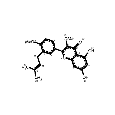 COc1ccc(-c2oc3cc(O)cc(O)c3c(=O)c2OC)cc1CC=C(C)C